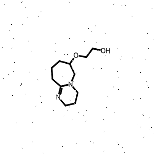 OCCOC1CCCC2=NCCCN2C1